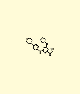 c1cc(N2CCOCC2)ccc1Nc1nc2c(c(NC3CCCC3)n1)NCN2